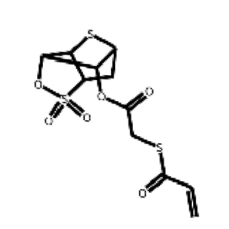 C=CC(=O)SCC(=O)OC1C2CC3C(S2)C1OS3(=O)=O